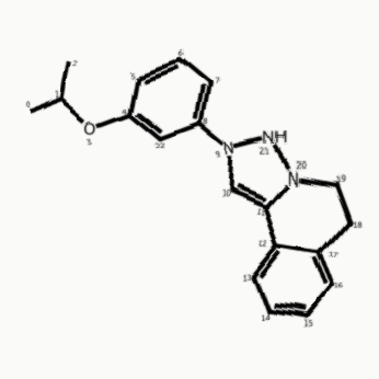 CC(C)Oc1cccc(N2C=C3c4ccccc4CCN3N2)c1